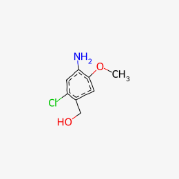 COc1cc(CO)c(Cl)cc1N